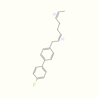 C/C=C\CC/C=C\Cc1ccc(-c2ccc(F)cc2)cc1